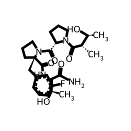 C[C@H](C(=O)N1CCC[C@H]1C(=O)N1CCC[C@@]1(Cc1cccc(F)c1)C(=O)N[C@H](C(N)=O)[C@@H](C)O)[C@@H](C)O